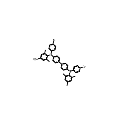 Cc1cc(C)c(N(c2ccc(Br)cc2)c2ccc(-c3ccc(N(c4ccc(Br)cc4)c4c(C)cc(C(C)(C)C)cc4C)cc3)cc2)c(C)c1